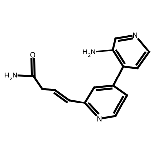 NC(=O)CC=Cc1cc(-c2ccncc2N)ccn1